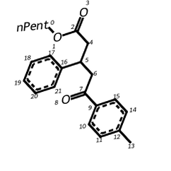 CCCCCOC(=O)CC(CC(=O)c1ccc(C)cc1)c1ccccc1